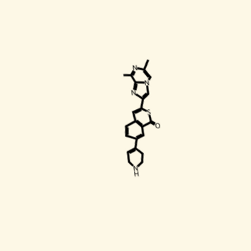 Cc1cn2cc(-c3cc4ccc(C5=CCNCC5)cc4c(=O)s3)nc2c(C)n1